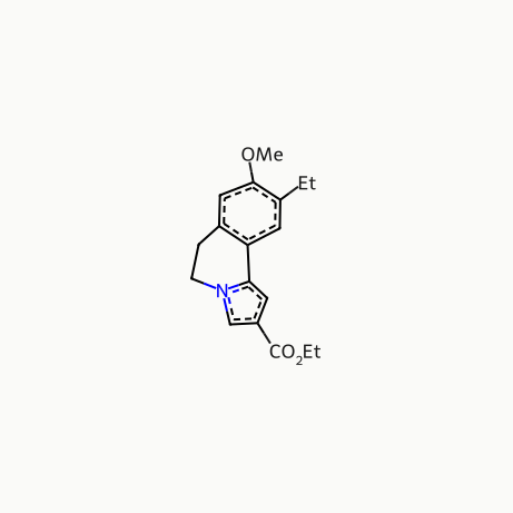 CCOC(=O)c1cc2n(c1)CCc1cc(OC)c(CC)cc1-2